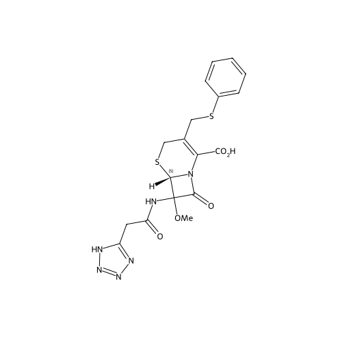 COC1(NC(=O)Cc2nnn[nH]2)C(=O)N2C(C(=O)O)=C(CSc3ccccc3)CS[C@H]21